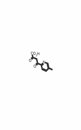 Cc1ccc(C(=O)CC(=O)C(=O)O)nc1